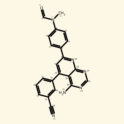 CN(C=O)c1ccc(-c2cc(-c3cccc(C#N)c3)c3c(N)ncnc3n2)cc1